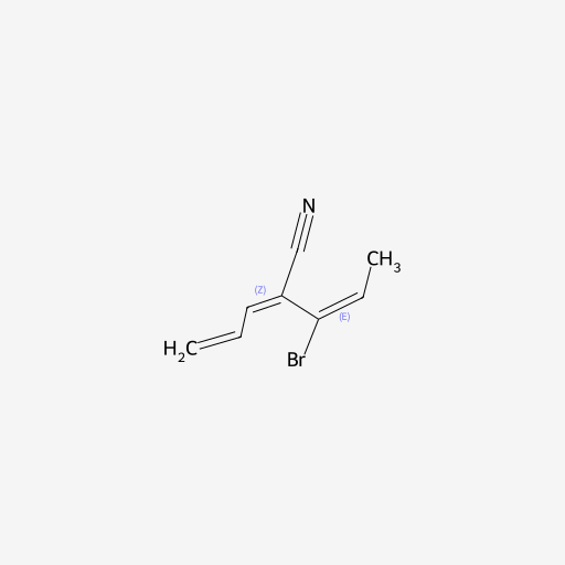 C=C/C=C(C#N)\C(Br)=C/C